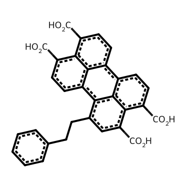 O=C(O)c1ccc2c3ccc(C(=O)O)c4c(C(=O)O)cc(CCc5ccccc5)c(c5ccc(C(=O)O)c1c25)c43